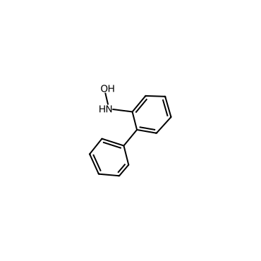 ONc1ccccc1-c1ccccc1